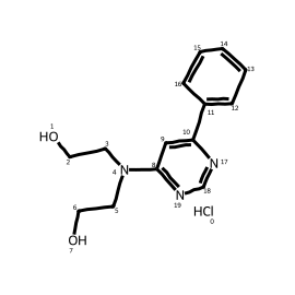 Cl.OCCN(CCO)c1cc(-c2ccccc2)ncn1